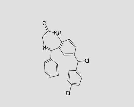 O=C1CN=C(c2ccccc2)c2cc(C(Cl)c3ccc(Cl)cc3)ccc2N1